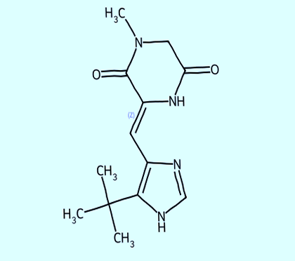 CN1CC(=O)N/C(=C\c2nc[nH]c2C(C)(C)C)C1=O